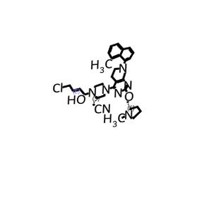 Cc1cccc2cccc(N3CCc4c(nc(OC[C@@H]5CCCN5C)nc4N4CCN(C(O)/C=C/CCl)[C@@H](CC#N)C4)C3)c12